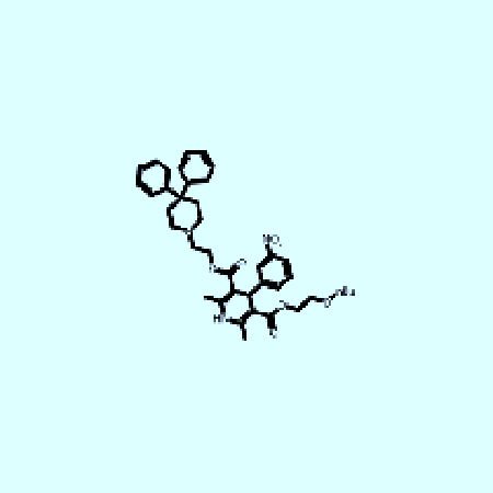 CCCCOCCOC(=O)C1=C(C)NC(C)=C(C(=O)OCCN2CCC(c3ccccc3)(c3ccccc3)CC2)C1c1cccc([N+](=O)[O-])c1